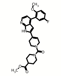 COC(=O)C1CCN(C(=O)N2CC=C(c3cc4c(-c5cc(F)ccc5OC)ccnc4[nH]3)CC2)CC1